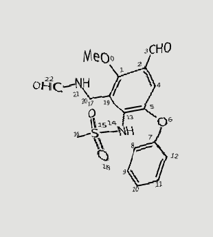 COc1c(C=O)cc(Oc2ccccc2)c(NS(C)(=O)=O)c1CNC=O